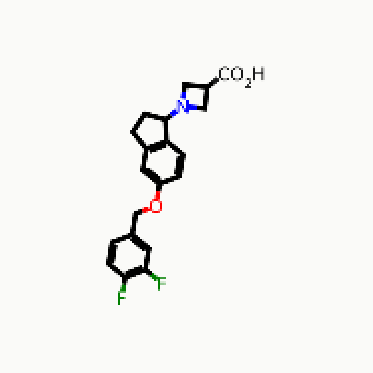 O=C(O)C1CN(C2CCc3cc(OCc4ccc(F)c(F)c4)ccc32)C1